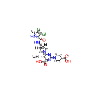 Cc1[nH]c(C(=O)N[C@H]2[C@@H]3CN(c4cc(C(=O)O)nc(N5CCC(C(=O)O)CC5)n4)C[C@@H]32)c(Cl)c1Cl.[LiH]